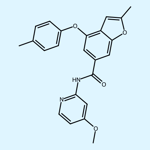 COc1ccnc(NC(=O)c2cc(Oc3ccc(C)cc3)c3cc(C)oc3c2)c1